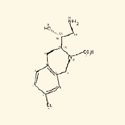 CCc1ccc2c(c1)CN(C(=O)O)[C@H]([C@H](O)CN)C2